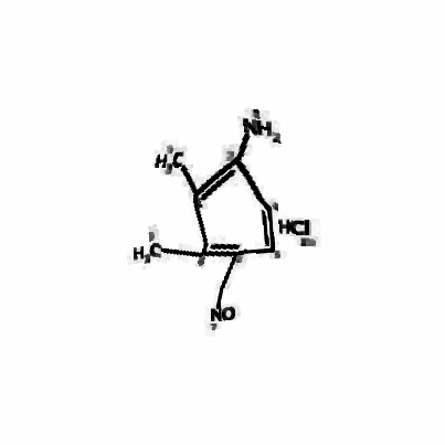 Cc1c(N)ccc(N=O)c1C.Cl